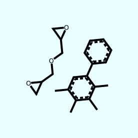 C(OCC1CO1)C1CO1.Cc1cc(-c2ccccc2)c(C)c(C)c1C